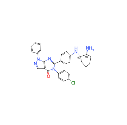 N[C@H]1CCCC[C@@H]1Nc1ccc(-c2nc3c(cnn3-c3ccccc3)c(=O)n2-c2ccc(Cl)cc2)cc1